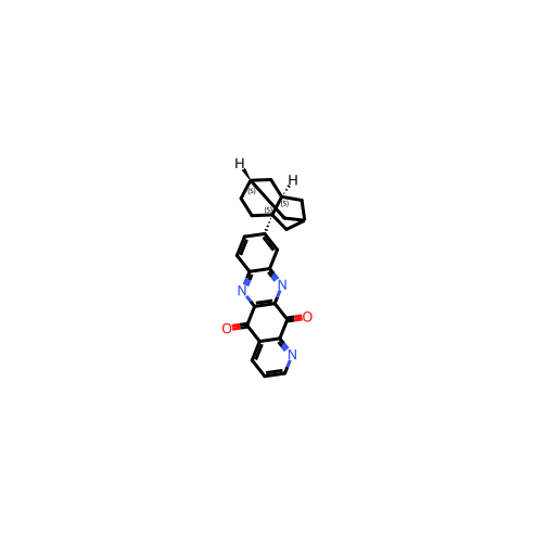 O=C1c2cccnc2C(=O)c2nc3cc([C@]45CC[C@H]6CC(C[C@@H]4C6)C5)ccc3nc21